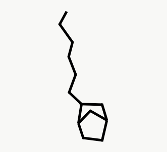 CCCCCC[C]1CC2CCC1C2